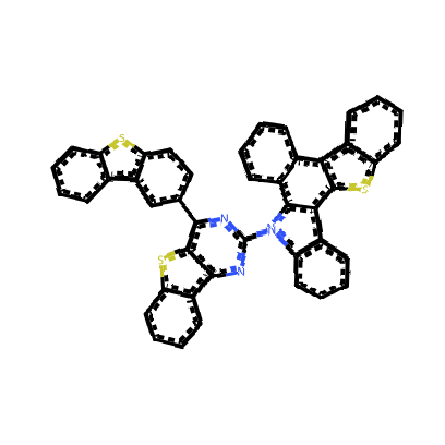 c1ccc2c(c1)sc1ccc(-c3nc(-n4c5ccccc5c5c6sc7ccccc7c6c6ccccc6c54)nc4c3sc3ccccc34)cc12